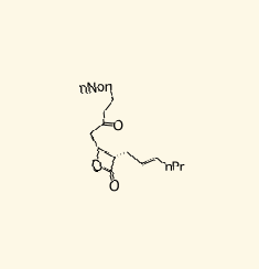 CCCC=CC[C@@H]1C(=O)O[C@H]1CC(=O)CCCCCCCCCCC